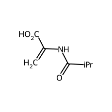 C=C(NC(=O)C(C)C)C(=O)O